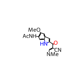 CNC=C(C#N)C(=O)c1cc2cc(OC)c(NC(C)=O)cc2[nH]1